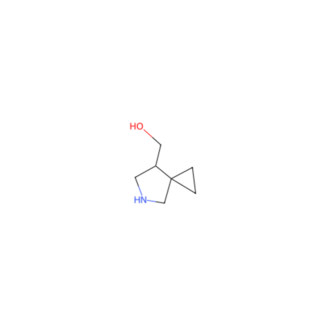 OCC1CNCC12CC2